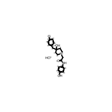 Cl.O=C(CN1CCC(O)(Cc2ccc(Cl)cc2)CC1)Nc1ccc(O)cc1